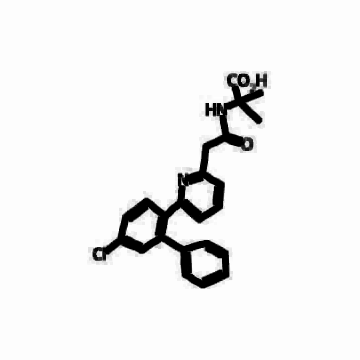 CC(C)(NC(=O)Cc1cccc(-c2ccc(Cl)cc2-c2ccccc2)n1)C(=O)O